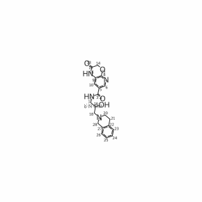 C[C@H](NC(=O)c1cnc2c(c1)NC(=O)CO2)[C@@H](O)CN1CCc2ccccc2C1